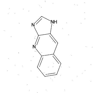 c1ccc2nc3nc[nH]c3cc2c1